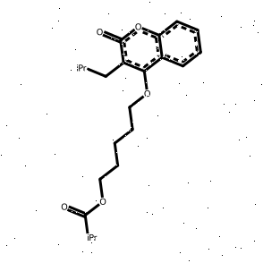 CC(C)Cc1c(OCCCCCOC(=O)C(C)C)c2ccccc2oc1=O